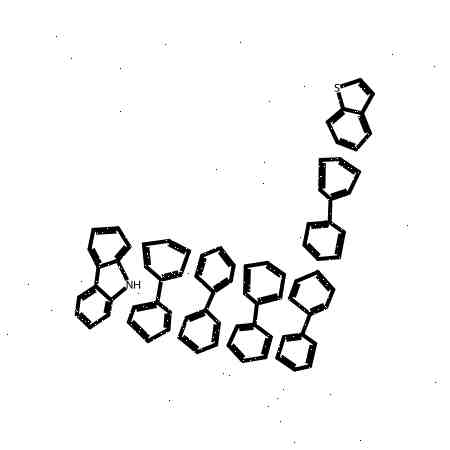 c1ccc(-c2ccccc2)cc1.c1ccc(-c2ccccc2)cc1.c1ccc(-c2ccccc2)cc1.c1ccc(-c2ccccc2)cc1.c1ccc(-c2ccccc2)cc1.c1ccc2c(c1)[nH]c1ccccc12.c1ccc2sccc2c1